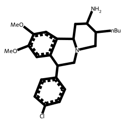 CCCCC1CN2CC(c3ccc(Cl)cc3)c3cc(OC)c(OC)cc3C2CC1N